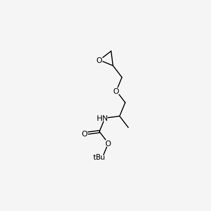 CC(COCC1CO1)NC(=O)OC(C)(C)C